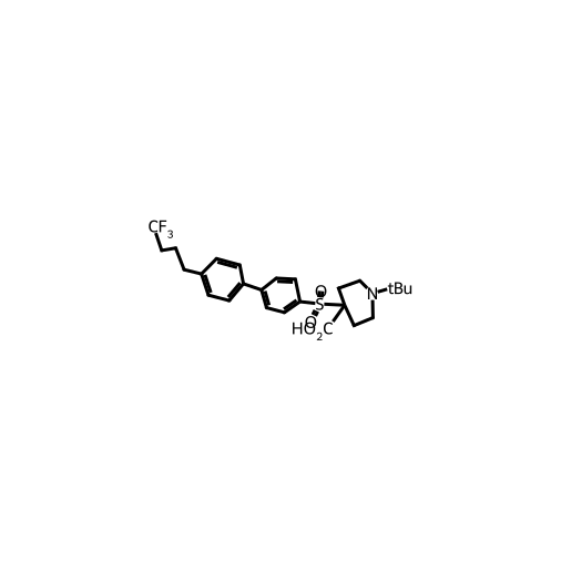 CC(C)(C)N1CCC(C(=O)O)(S(=O)(=O)c2ccc(-c3ccc(CCCC(F)(F)F)cc3)cc2)CC1